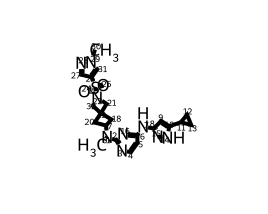 CN(c1nccc(Nc2cc(C3CC3)[nH]n2)n1)C1CC2(C1)CN(S(=O)(=O)c1cnn(C)c1)C2